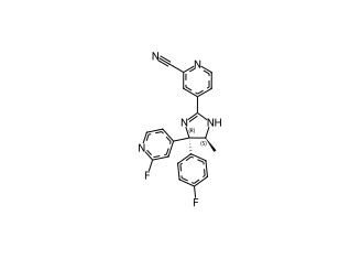 C[C@@H]1NC(c2ccnc(C#N)c2)=N[C@]1(c1ccc(F)cc1)c1ccnc(F)c1